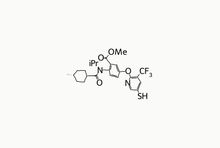 COC(=O)c1cc(Oc2ncc(S)cc2C(F)(F)F)ccc1N(C(=O)[C@H]1CC[C@H](C)CC1)C(C)C